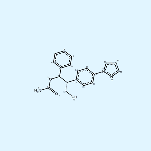 NC(=O)OC(c1ccccc1)[C@@H](CO)c1ccc(-n2cncn2)cc1